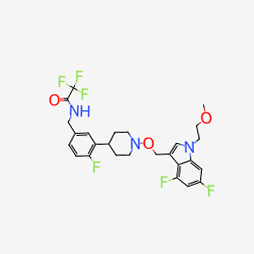 COCCn1cc(CON2CCC(c3cc(CNC(=O)C(F)(F)F)ccc3F)CC2)c2c(F)cc(F)cc21